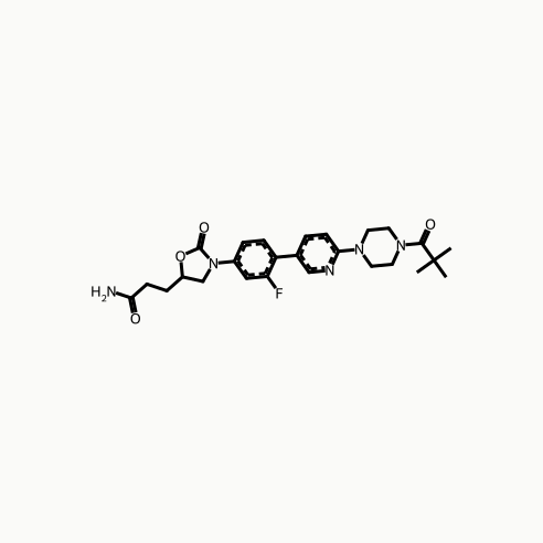 CC(C)(C)C(=O)N1CCN(c2ccc(-c3ccc(N4CC(CCC(N)=O)OC4=O)cc3F)cn2)CC1